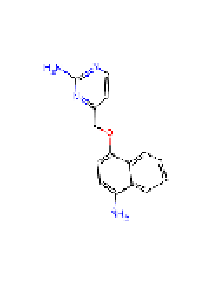 Nc1nccc(COc2ccc(N)c3ccccc23)n1